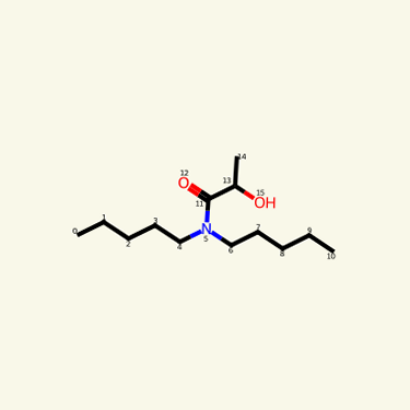 CCCCCN(CCCCC)C(=O)C(C)O